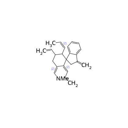 C=C/C=C1\C(=C/NC)CC(C=C)C(/C=C\C)C12CC(=C)c1ccccc12